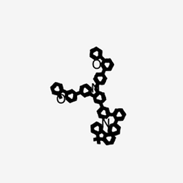 CC1(C)c2ccccc2-c2c(N3c4ccccc4-c4ccccc4-c4cc(-c5ccc6c(c5)c5cc(-c7ccc8oc9ccccc9c8c7)ccc5n6-c5ccc(-c6cccc7c6oc6ccccc67)cc5)ccc43)cccc21